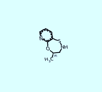 C[C@@H]1CNSc2cccnc2O1